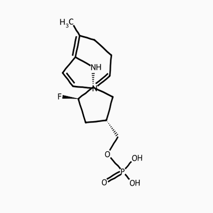 C\C1=C(N[C@@H]2C[C@H](COP(=O)(O)O)C[C@H]2F)/C=C\N=C/CC1